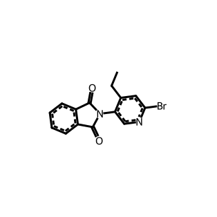 CCc1cc(Br)ncc1N1C(=O)c2ccccc2C1=O